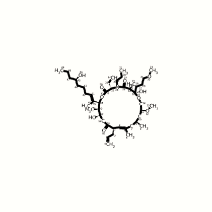 C=CC[C@@H]1/C=C(\C)C[C@H](C)C[C@H](OC)CO[C@](O)([C@H](C)CCOC)C(=O)C(=O)N(CCC)[C@@H](CC)C(=O)O[C@H](/C(C)=C/CCC[C@H](O)CCC)[C@H](C)[C@@H](O)CC1=O